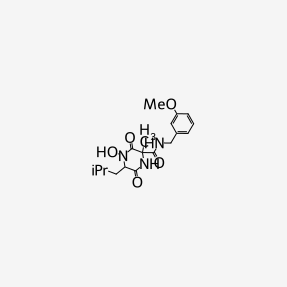 COc1cccc(CNC(=O)C2(C)NC(=O)C(CC(C)C)N(O)C2=O)c1